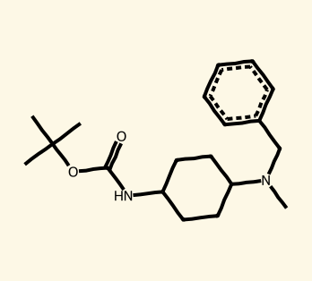 CN(Cc1ccccc1)C1CCC(NC(=O)OC(C)(C)C)CC1